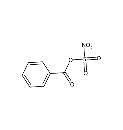 O=C(OS(=O)(=O)[N+](=O)[O-])c1ccccc1